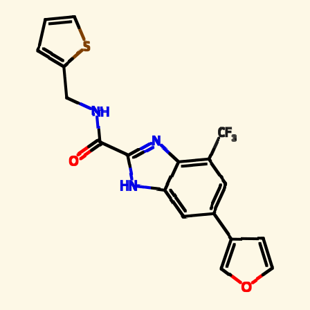 O=C(NCc1cccs1)c1nc2c(C(F)(F)F)cc(-c3ccoc3)cc2[nH]1